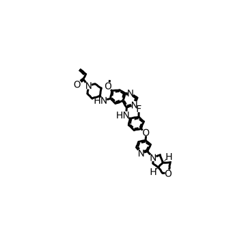 C=CC(=O)N1CCC(Nc2cc3c(Nc4ccc(Oc5ccnc(N6C[C@H]7COC[C@H]7C6)c5)cc4F)ncnc3cc2OC)CC1